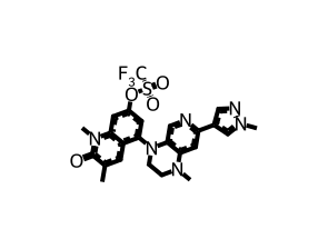 Cc1cc2c(N3CCN(C)c4cc(-c5cnn(C)c5)ncc43)cc(OS(=O)(=O)C(F)(F)F)cc2n(C)c1=O